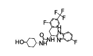 O=C(NC(Cc1ccc(C(F)(F)F)cc1F)c1nc2cc(F)ccc2[nH]1)N[C@H]1CC[C@H](O)CC1